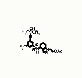 CC(=O)OCCn1ncc2c1CCCC2NS(=O)(=O)c1cc(C#C[Si](C)(C)C)cc(C(F)(F)F)c1